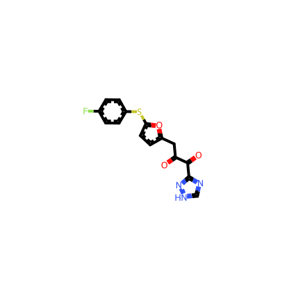 O=C(Cc1ccc(Sc2ccc(F)cc2)o1)C(=O)c1nc[nH]n1